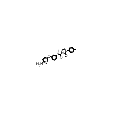 Nc1ccc(Oc2cccc(NC(=O)N3CCN(c4ccc(F)cc4)C3=O)c2)cn1